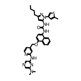 CCCCc1cc(NC(=O)Nc2ccc(OCc3ccnc(Nc4cncc(N(C)C)n4)c3)c3ccccc23)n(-c2csc(C)c2)n1